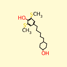 CSc1cc(CCCCCC2CCC(O)CC2)cc(SC)c1O